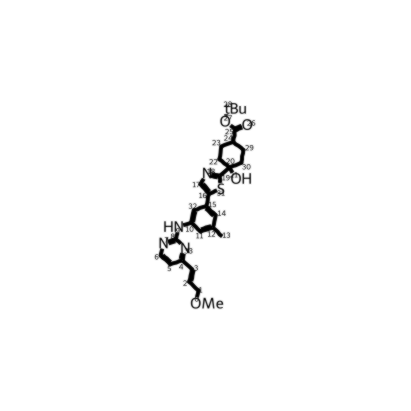 COCC=Cc1ccnc(Nc2cc(C)cc(-c3cnc(C4(O)CCC(C(=O)OC(C)(C)C)CC4)s3)c2)n1